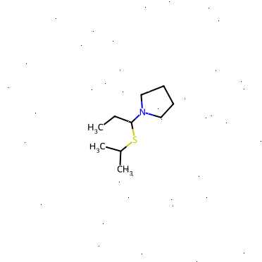 CCC(SC(C)C)N1CCCC1